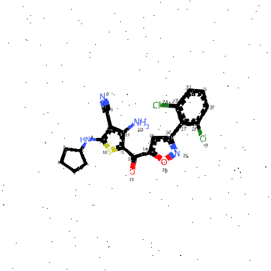 N#Cc1c(NC2CCCC2)sc(C(=O)c2cc(-c3c(Cl)cccc3Cl)no2)c1N